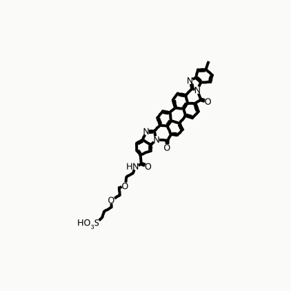 Cc1ccc2c(c1)nc1c3ccc4c5ccc6c7c(ccc(c8ccc(c(=O)n21)c3c84)c57)c(=O)n1c2cc(C(=O)NCCOCCOCCCS(=O)(=O)O)ccc2nc61